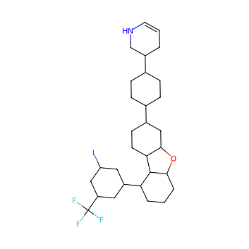 FC(F)(F)C1CC(I)CC(C2CCCC3OC4CC(C5CCC(C6CC=CNC6)CC5)CCC4C32)C1